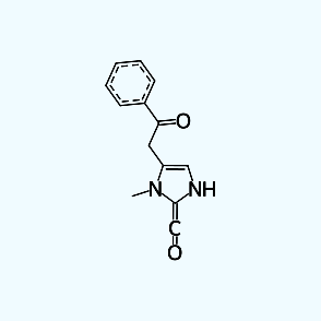 CN1C(=C=O)NC=C1CC(=O)c1ccccc1